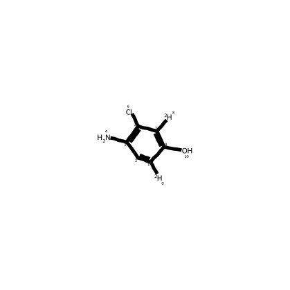 [2H]c1cc(N)c(Cl)c([2H])c1O